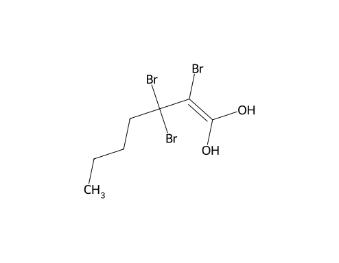 CCCCC(Br)(Br)C(Br)=C(O)O